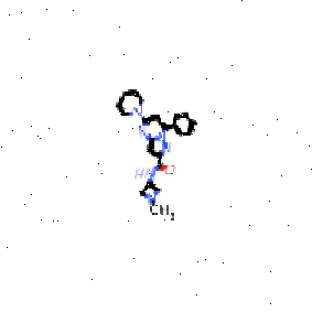 CN1CC(NC(=O)c2cc3nc(N4CCCCC4)cc(-c4ccccc4)n3n2)C1